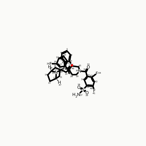 Cc1nc2ccccc2n1[C@H]1C[C@H]2CC[C@@H](C1)N2CCC1(c2cccc(F)c2)CCN(C(=O)c2cc(S(N)(=O)=O)c(F)cc2F)CC1